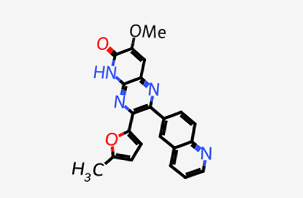 COc1cc2nc(-c3ccc4ncccc4c3)c(-c3ccc(C)o3)nc2[nH]c1=O